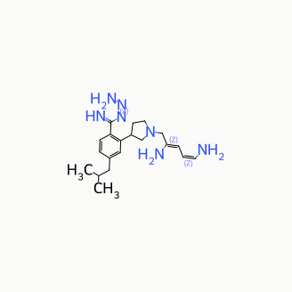 CC(C)Cc1ccc(C(=N)/N=N\N)c(C2CCN(C/C(N)=C/C=C\N)C2)c1